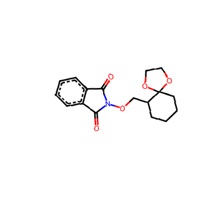 O=C1c2ccccc2C(=O)N1OCC1CCCCC12OCCO2